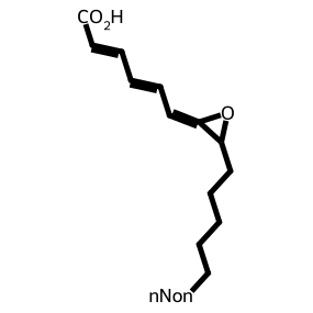 CCCCCCCCCCCCCCC1OC1=CC=CC=CC(=O)O